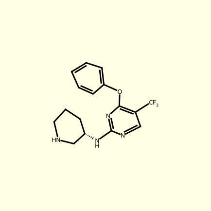 FC(F)(F)c1cnc(N[C@H]2CCCNC2)nc1Oc1ccccc1